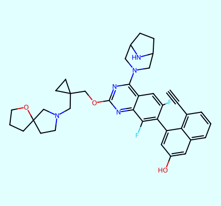 C#Cc1cccc2cc(O)cc(-c3c(F)cc4c(N5CC6CCC(C5)N6)nc(OCC5(CN6CCC7(CCCO7)C6)CC5)nc4c3F)c12